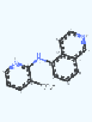 O=C(O)c1cccnc1Nc1cccc2cnccc12